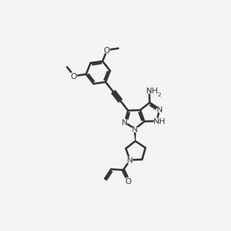 C=CC(=O)N1CC[C@H](n2nc(C#Cc3cc(OC)cc(OC)c3)c3c(N)n[nH]c32)C1